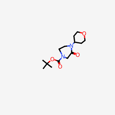 CC(C)(C)OC(=O)N1CCN(C2CCOCC2)C(=O)C1